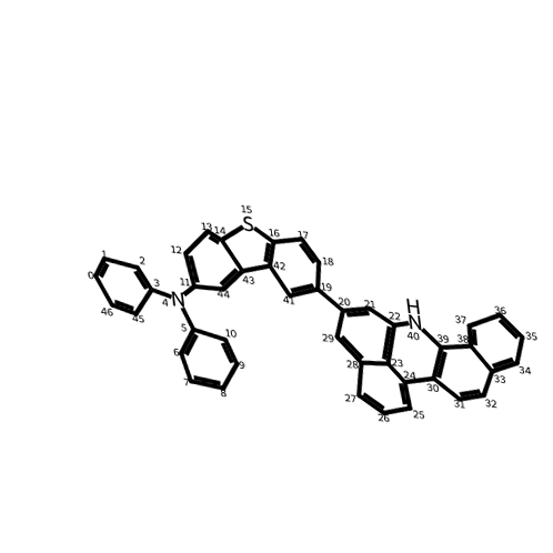 c1ccc(N(c2ccccc2)c2ccc3sc4ccc(-c5cc6c7c(cccc7c5)-c5ccc7ccccc7c5N6)cc4c3c2)cc1